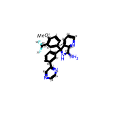 COc1ccc(C2(c3cccc(-c4cnccn4)c3)NC(N)c3ncccc32)cc1C(F)F